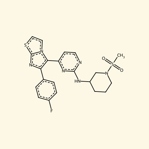 CS(=O)(=O)N1CCCC(Nc2nccc(-c3c(-c4ccc(F)cc4)nc4sccn34)n2)C1